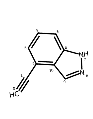 C#Cc1cccc2[nH]ncc12